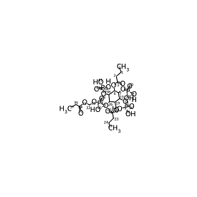 CCCC(=O)OC1C(OP(=O)(O)O)C(OP(=O)(O)O)C(OC(=O)CCC)C(OP(=O)(O)OCOC(=O)CC)C1OP(=O)(O)O